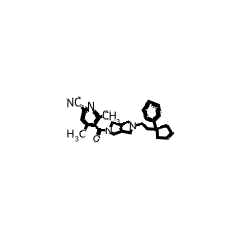 Cc1cc(C#N)nc(C)c1C(=O)N1CC2CN(CCC3(c4ccccc4)CCCC3)CC2C1